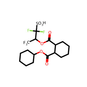 O=C(OC1CCCCC1)C1CCCCC1C(=O)OC(C(F)(F)F)C(F)(F)S(=O)(=O)O